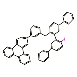 Ic1ccc(-c2ccccc2)cc1-c1cc(-c2ccccc2)ccc1Cc1cccc(-c2ccc3c4ccccc4c4ccccc4c3c2)c1